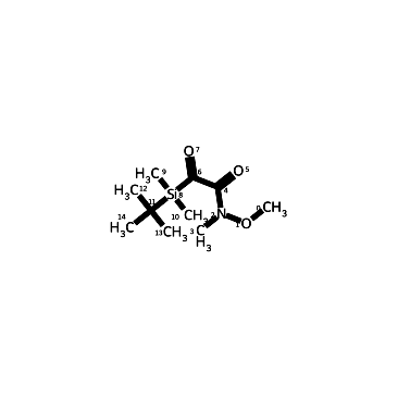 CON(C)C(=O)C(=O)[Si](C)(C)C(C)(C)C